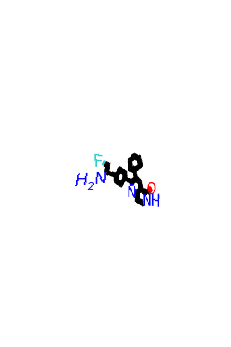 NC(CF)c1ccc(-c2nc3cc[nH]c(=O)c3cc2-c2ccccc2)cc1